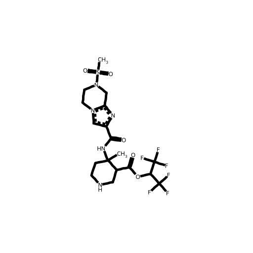 CC1(NC(=O)c2cn3c(n2)CN(S(C)(=O)=O)CC3)CCNCC1C(=O)OC(C(F)(F)F)C(F)(F)F